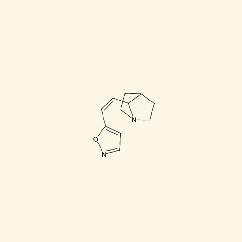 C(=C/C1C2CCN1CC2)/c1ccno1